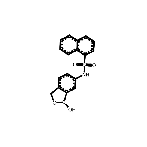 O=S(=O)(Nc1ccc2c(c1)B(O)OC2)c1cccc2ccccc12